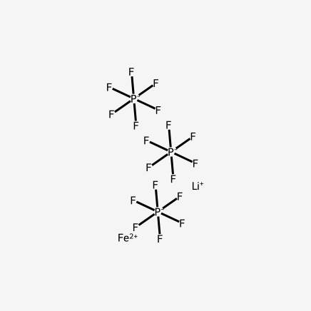 F[P-](F)(F)(F)(F)F.F[P-](F)(F)(F)(F)F.F[P-](F)(F)(F)(F)F.[Fe+2].[Li+]